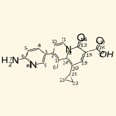 Cc1c(-c2ccc(N)nc2)ccn2c(=O)c(C(=O)O)cc(C3CC3)c12